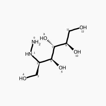 NN[C@H](CO)[C@H](O)[C@H](O)[C@H](O)CO